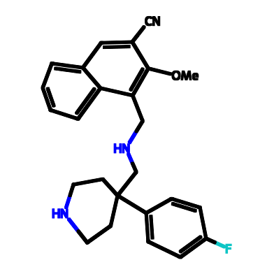 COc1c(C#N)cc2ccccc2c1CNCC1(c2ccc(F)cc2)CCNCC1